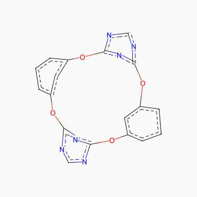 c1cc2cc(c1)Oc1ncnc(n1)Oc1cccc(c1)Oc1ncnc(n1)O2